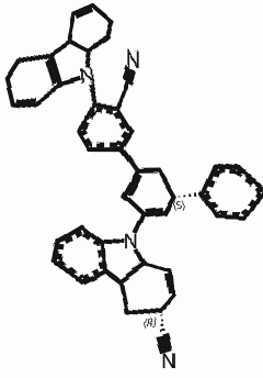 N#Cc1cc(C2=CC(N3c4ccccc4C4C[C@@H](C#N)C=CC43)=C[C@@H](c3ccccc3)C2)ccc1N1C2=C(CCC=C2)C2C=CCCC21